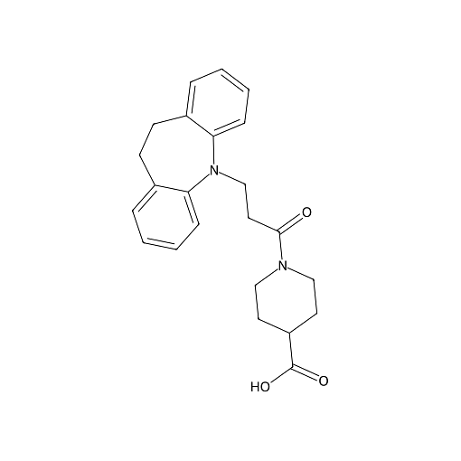 O=C(O)C1CCN(C(=O)CCN2c3ccccc3CCc3ccccc32)CC1